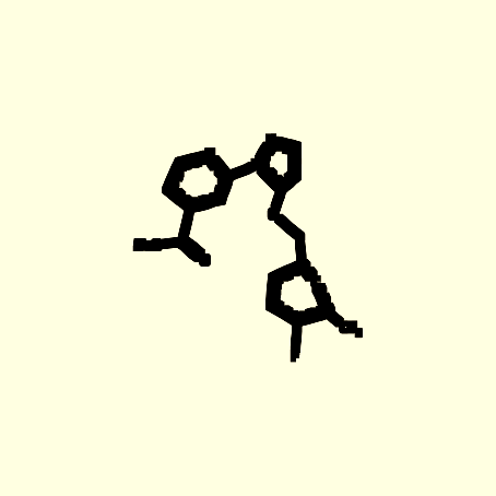 COC(=O)c1ccnc(-n2nccc2OCc2ccc(F)c(C)c2)c1